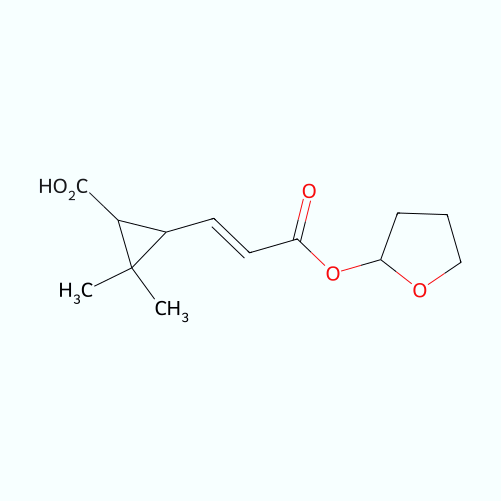 CC1(C)C(/C=C/C(=O)OC2CCCO2)C1C(=O)O